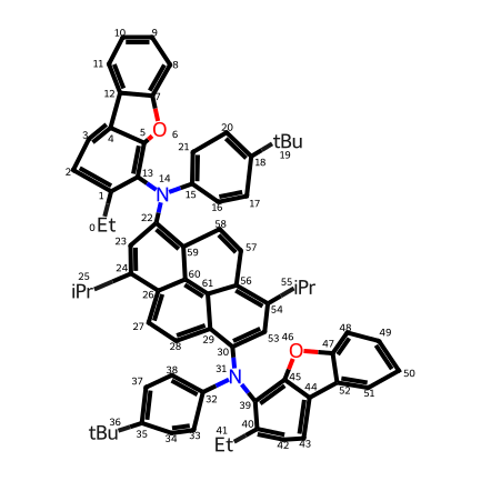 CCc1ccc2c(oc3ccccc32)c1N(c1ccc(C(C)(C)C)cc1)c1cc(C(C)C)c2ccc3c(N(c4ccc(C(C)(C)C)cc4)c4c(CC)ccc5c4oc4ccccc45)cc(C(C)C)c4ccc1c2c43